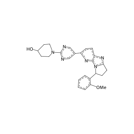 COc1ccccc1C1CCc2nc3ccc(-c4cnc(N5CCC(O)CC5)nc4)nc3n21